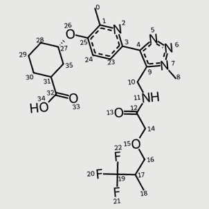 Cc1nc(-c2nnn(C)c2CNC(=O)COCC(C)C(F)(F)F)ccc1O[C@H]1CCCC(C(=O)O)C1